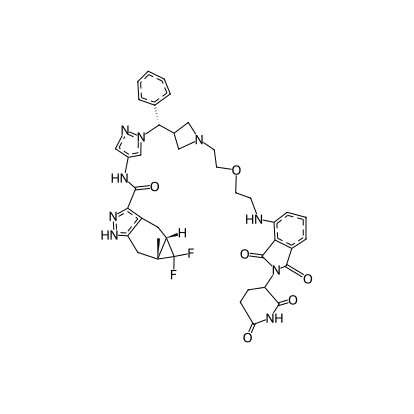 C[C@@]12Cc3[nH]nc(C(=O)Nc4cnn([C@H](c5ccccc5)C5CN(CCOCCNc6cccc7c6C(=O)N(C6CCC(=O)NC6=O)C7=O)C5)c4)c3C[C@@H]1C2(F)F